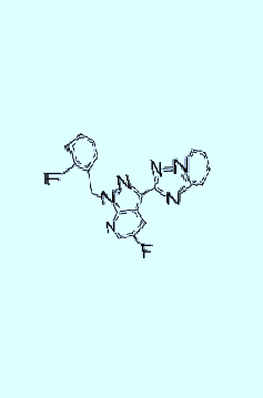 Fc1cnc2c(c1)c(-c1nc3ccccn3n1)nn2Cc1ccccc1F